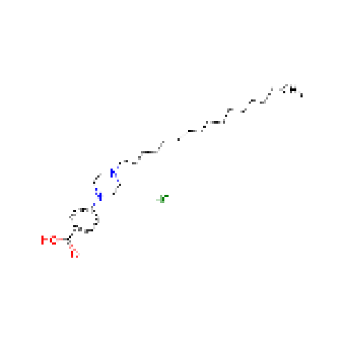 CCCCCCCCCCCCCCCCN1CCN(c2ccc(C(=O)O)cc2)CC1.Cl